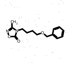 Cc1noc(=O)n1CCCCOCc1ccccc1